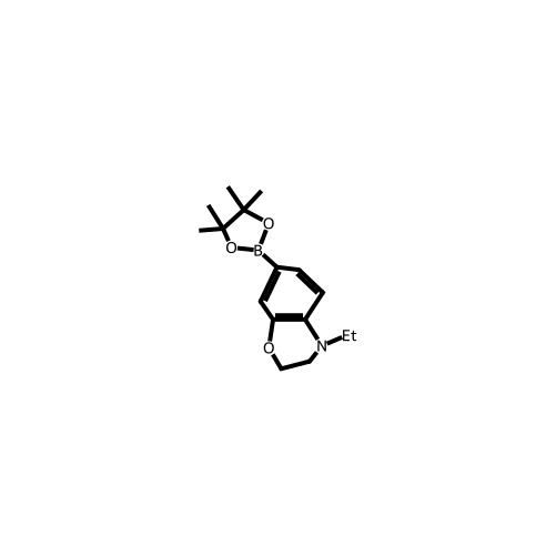 CCN1CCOc2cc(B3OC(C)(C)C(C)(C)O3)ccc21